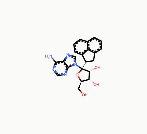 Nc1ncnc2c1ncn2[C@]1(C2Cc3cccc4cccc2c34)O[C@H](CO)[C@@H](O)[C@H]1O